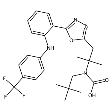 CC(C)(C)CN(C(=O)O)C(C)(C)Cc1nnc(-c2ccccc2Nc2ccc(C(F)(F)F)cc2)o1